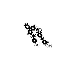 CC(=O)c1ccc(C(=O)Oc2ccc(C3(c4ccc(OC(=O)Oc5ccc(C(C)(C)c6ccc(O)c(C)c6)cc5C)c(C)c4)CCC(C)(C)C(C)C3)cc2C)cc1